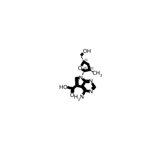 C[C@H]1C[C@@H](CO)O[C@H]1n1cc(C(=O)O)c2c(N)ncnc21